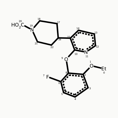 CCOc1cccc(F)c1Oc1ncccc1C1CCN(C(=O)O)CC1